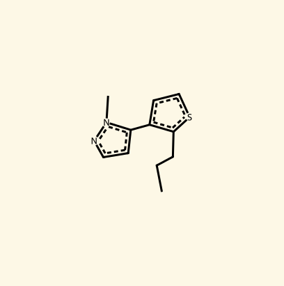 CCCc1sccc1-c1ccnn1C